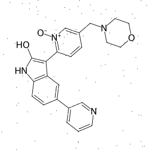 [O-][n+]1cc(CN2CCOCC2)ccc1-c1c(O)[nH]c2ccc(-c3cccnc3)cc12